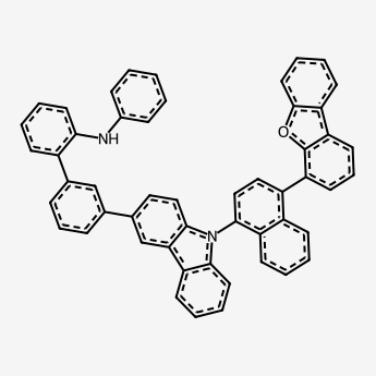 c1ccc(Nc2ccccc2-c2cccc(-c3ccc4c(c3)c3ccccc3n4-c3ccc(-c4cccc5c4oc4ccccc45)c4ccccc34)c2)cc1